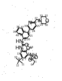 CCS(=O)(=O)Nc1cc(C(C)(C)C)cc(NC(=O)Nc2ccc(-c3ccc(CN4CCOCC4)nc3)c3ccccc23)c1OC